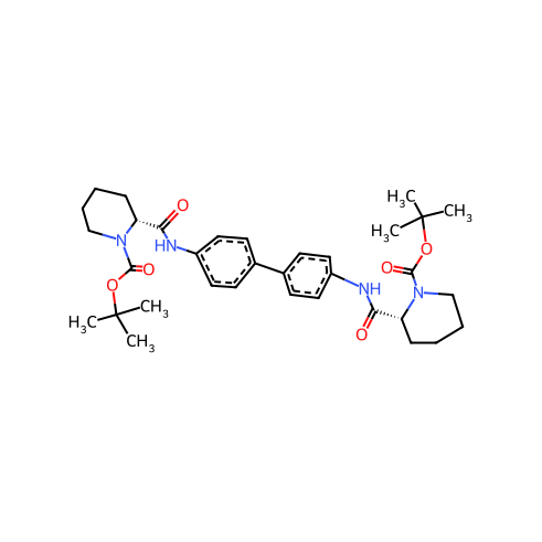 CC(C)(C)OC(=O)N1CCCC[C@@H]1C(=O)Nc1ccc(-c2ccc(NC(=O)[C@H]3CCCCN3C(=O)OC(C)(C)C)cc2)cc1